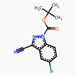 CC(C)(C)OC(=O)n1nc(C#N)c2cc(Br)ccc21